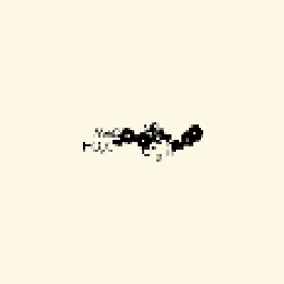 COc1ccc(-c2cc(C(F)(F)F)cc(S(=O)(=O)N(C)C[C@H](O)CNC(C)(C)CC3Cc4ccccc4C3)c2)cc1/C=C/C(=O)O